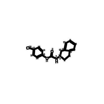 O=C(NN1CCc2ccccc2C1)Oc1ccc(Cl)cc1